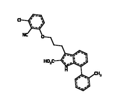 Cc1ccccc1-c1cccc2c(CCCOc3cccc(Cl)c3C#N)c(C(=O)O)[nH]c12